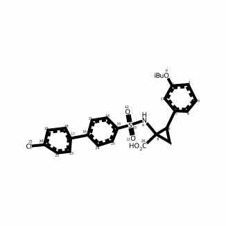 CC(C)COc1cccc(C2CC2(NS(=O)(=O)c2ccc(-c3ccc(Cl)cc3)cc2)C(=O)O)c1